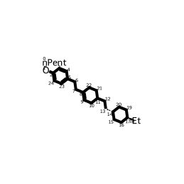 CCCCCOc1ccc(CCC2=CCC(CC[C@H]3CC[C@H](CC)CC3)CC2)cc1